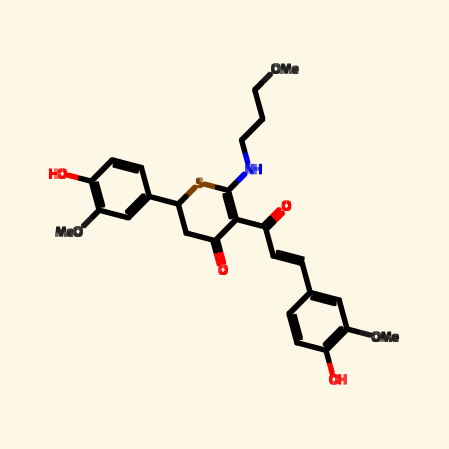 COCCCNC1=C(C(=O)/C=C/c2ccc(O)c(OC)c2)C(=O)CC(c2ccc(O)c(OC)c2)S1